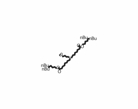 CCCCC(CCCC)CCCCOC(=O)CCCCCCCP(CCCCCCCC(=O)OCCCCC(CCCC)CCCC)CCCCN(C)C